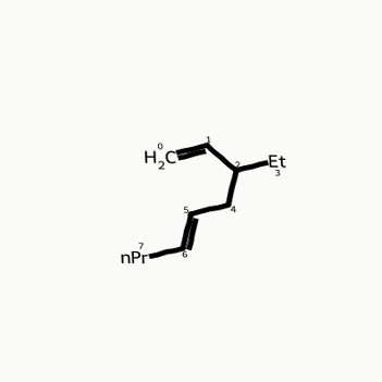 C=CC(CC)CC=CCCC